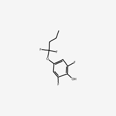 CCCC(F)(F)Oc1cc(F)c(O)c(F)c1